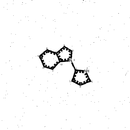 c1c[nH]c(-n2ccc3ccccc32)c1